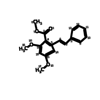 COC(=O)c1c(/C=C/c2ccccc2)cc(OC)cc1OC